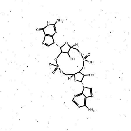 Nc1nc2c(ncn2[C@@H]2O[C@@H]3COP(=O)(O)OC4C(O)[C@H](n5cnc6c(N)ncnc65)O[C@@H]4COP(=O)(S)OC2C3O)c(=O)[nH]1